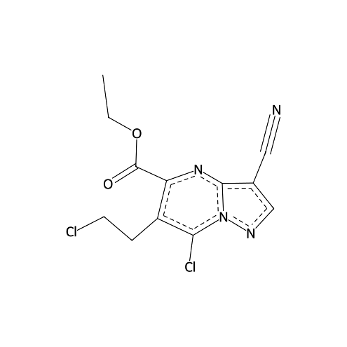 CCOC(=O)c1nc2c(C#N)cnn2c(Cl)c1CCCl